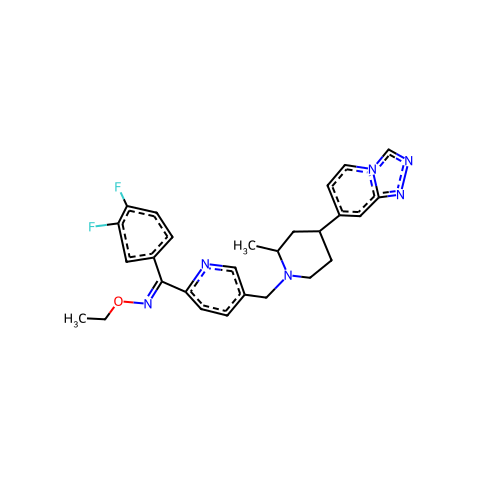 CCO/N=C(\c1ccc(F)c(F)c1)c1ccc(CN2CCC(c3ccn4cnnc4c3)CC2C)cn1